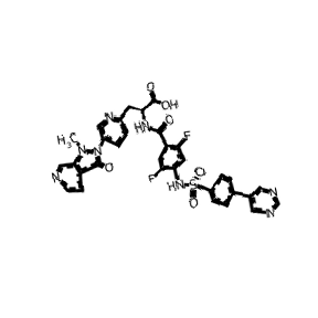 Cn1c2cnccc2c(=O)n1-c1ccc(C[C@H](NC(=O)c2cc(F)c(NS(=O)(=O)c3ccc(-c4cncnc4)cc3)cc2F)C(=O)O)nc1